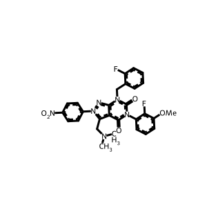 COc1cccc(-n2c(=O)c3c(CN(C)C)n(-c4ccc([N+](=O)[O-])cc4)nc3n(Cc3ccccc3F)c2=O)c1F